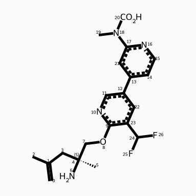 C=C(C)C[C@](C)(N)COc1ncc(-c2ccnc(N(C)C(=O)O)c2)cc1C(F)F